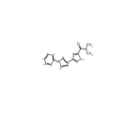 CN(C)C(=O)c1nc(-c2cnn(-c3cccnc3)c2)cs1